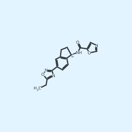 CCc1nc(-c2ccc3c(c2)CC[C@H]3NC(=O)c2cnco2)no1